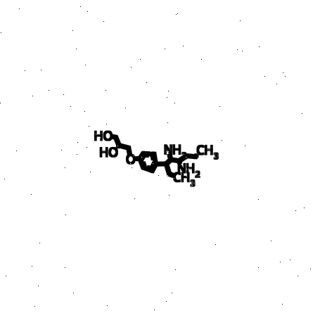 CCCC(N)C(N)C(CC)c1ccc(OC[C@@H](O)CO)cc1